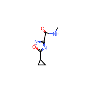 CNC(=O)c1noc(C2CC2)n1